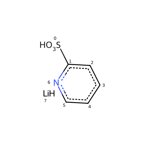 O=S(=O)(O)c1ccccn1.[LiH]